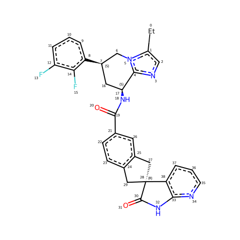 CCc1cnc2n1C[C@H](c1cccc(F)c1F)C[C@@H]2NC(=O)c1ccc2c(c1)C[C@@]1(C2)C(=O)Nc2ncccc21